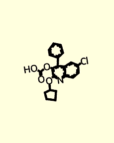 O=C(O)Oc1c(OC2CCCC2)nc2ccc(Cl)cc2c1-c1ccccc1